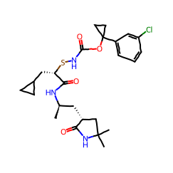 C[C@H](C[C@@H]1CC(C)(C)NC1=O)NC(=O)[C@H](CC1CC1)SNC(=O)OC1(c2cccc(Cl)c2)CC1